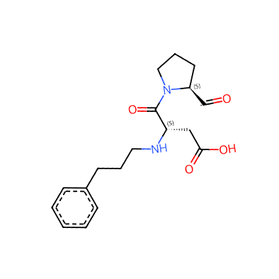 O=[C][C@@H]1CCCN1C(=O)[C@H](CC(=O)O)NCCCc1ccccc1